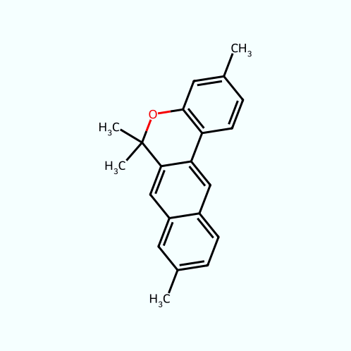 Cc1ccc2c(c1)OC(C)(C)c1cc3cc(C)ccc3cc1-2